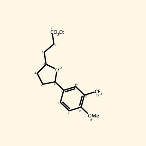 CCOC(=O)CCC1CCC(c2ccc(OC)c(C(F)(F)F)c2)O1